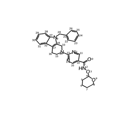 O=C(NOC1CCCCO1)c1cnc(N2CCc3c(n(Cc4ccccc4)c4ccccc34)C2)nc1